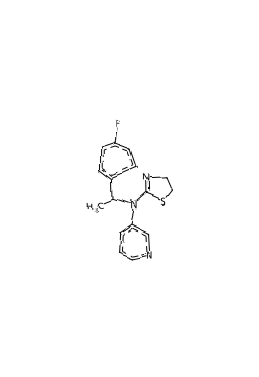 CC(c1ccc(F)cc1)N(C1=NCCS1)c1cccnc1